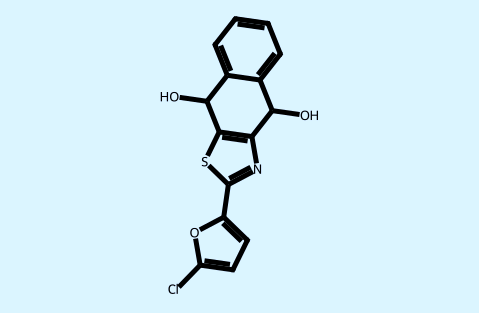 OC1c2ccccc2C(O)c2sc(-c3ccc(Cl)o3)nc21